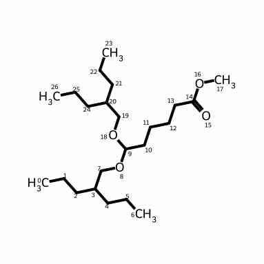 CCCC(CCC)COC(CCCCC(=O)OC)OCC(CCC)CCC